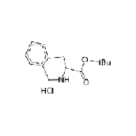 CC(C)(C)OC(=O)C1Cc2ccccc2CN1.Cl